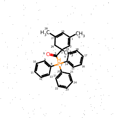 CC1=CC(C)(C(=O)[PH](c2ccccc2)(c2ccccc2)c2ccccc2)CC(C)=C1